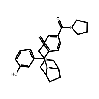 C=CCN1CC2CCC(C1)N2C(c1ccc(C(=O)N2CCCC2)cc1)c1cccc(O)c1